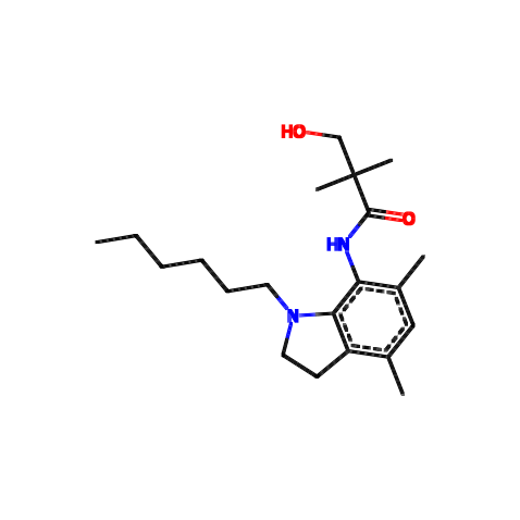 CCCCCCN1CCc2c(C)cc(C)c(NC(=O)C(C)(C)CO)c21